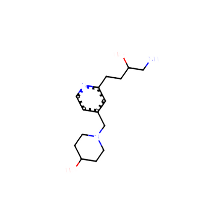 NCC(O)CCc1cc(CN2CCC(O)CC2)ccn1